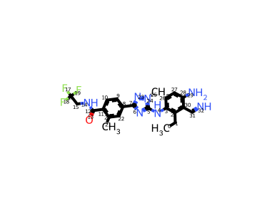 CCc1c(Nc2nc(-c3ccc(C(=O)NCC(F)(F)F)c(C)c3)nn2C)ccc(N)c1C=N